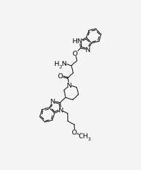 COCCCn1c(C2CCCN(C(=O)CC(N)COc3nc4ccccc4[nH]3)C2)nc2ccccc21